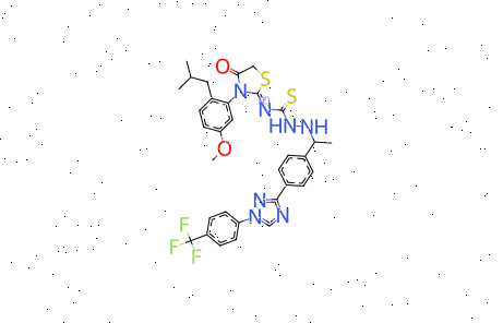 COc1ccc(CC(C)C)c(N2C(=O)CS/C2=N\C(=S)NNC(C)c2ccc(-c3ncn(-c4ccc(C(F)(F)F)cc4)n3)cc2)c1